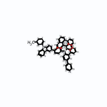 CC1C=CC=C(n2c3ccccc3c3cc(-c4ccc(N(c5ccc(-c6ccccc6)cc5-c5ccccc5)c5ccccc5-c5cccc6cccc(-c7ccccc7)c56)cc4)ccc32)C1